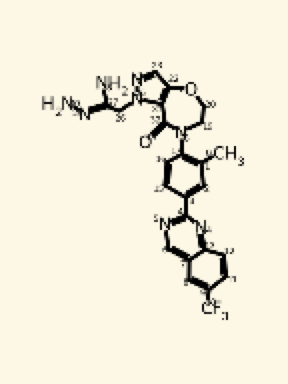 Cc1cc(-c2ncc3cc(C(F)(F)F)ccc3n2)ccc1N1CCOc2cnn(C/C(N)=N/N)c2C1=O